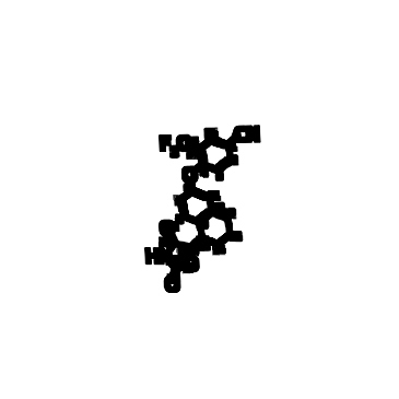 N#Cc1ccc(Oc2ccc3c(c2)CCC[C@H]3[C@@H]2OC(=O)NC2=O)c(C(F)(F)F)c1